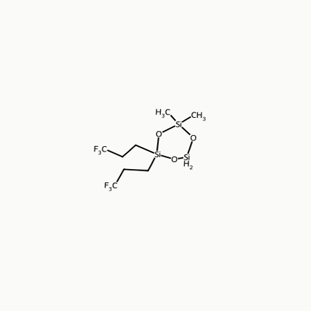 C[Si]1(C)O[SiH2]O[Si](CCC(F)(F)F)(CCC(F)(F)F)O1